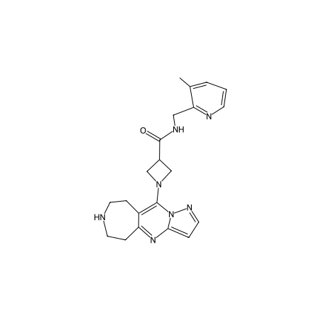 Cc1cccnc1CNC(=O)C1CN(c2c3c(nc4ccnn24)CCNCC3)C1